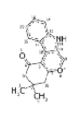 CC1(C)CC(=O)c2c([o+]cc3[nH]c4ccccc4c23)C1